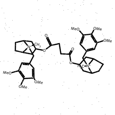 COc1cc(C[N+]2(C)C3CCC2CC(OC(=O)CCC(=O)OC2CC4CCC(C2)[N+]4(C)Cc2cc(OC)c(OC)c(OC)c2)C3)cc(OC)c1OC